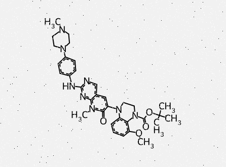 COc1cccc2c1N(C(=O)OC(C)(C)C)CCN2c1cc2cnc(Nc3ccc(N4CCN(C)CC4)cc3)nc2n(C)c1=O